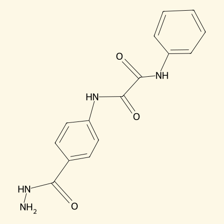 NNC(=O)c1ccc(NC(=O)C(=O)Nc2ccccc2)cc1